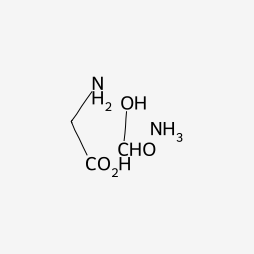 N.NCC(=O)O.O=CO